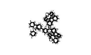 c1ccc(-n2c3ccccc3c3ccc(-c4cccc(N(c5ccc6c(c5)-c5ccccc5C65c6ccccc6Oc6ccccc65)c5ccc6c(c5)C5(c7ccccc7Oc7ccccc75)c5ccccc5-6)c4)cc32)cc1